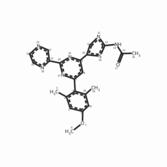 COc1cc(C)c(-c2cc(-c3cnc(NC(C)=O)s3)nc(-c3cnccn3)n2)c(C)c1